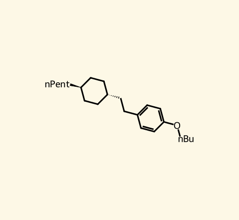 CCCCC[C@H]1CC[C@H](CCc2ccc(OCCCC)cc2)CC1